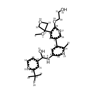 COC1(c2cc(-c3cc(NC(O)c4ccnc(C(C)(C)F)c4)cnc3C)cnc2OCCO)COC1